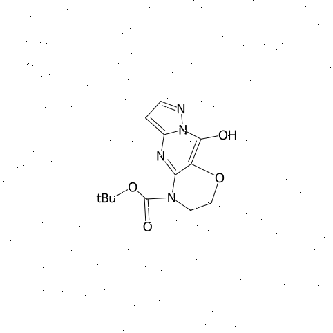 CC(C)(C)OC(=O)N1CCOc2c1nc1ccnn1c2O